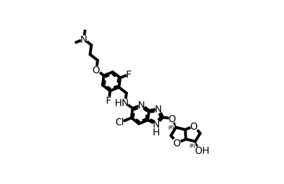 CN(C)CCCOc1cc(F)c(CNc2nc3nc(O[C@@H]4COC5C4OC[C@H]5O)[nH]c3cc2Cl)c(F)c1